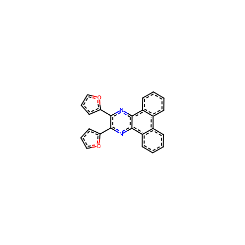 c1coc(-c2nc3c4ccccc4c4ccccc4c3nc2-c2ccco2)c1